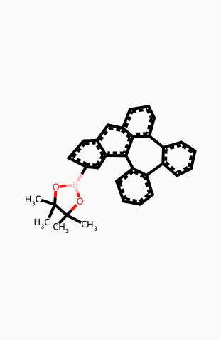 CC1(C)OB(c2ccc3cc4cccc5c4c(c3c2)-c2ccccc2-c2ccccc2-5)OC1(C)C